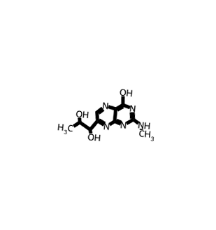 CNc1nc(O)c2ncc(C(O)C(C)O)nc2n1